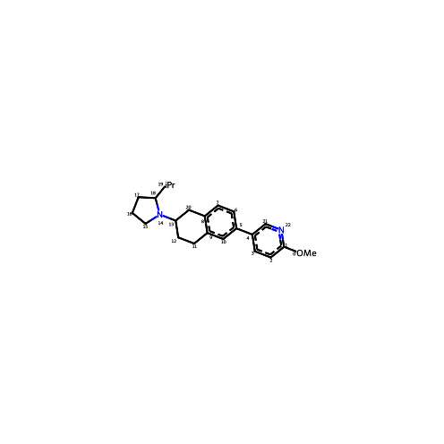 COc1ccc(-c2ccc3c(c2)CCC(N2CCCC2C(C)C)C3)cn1